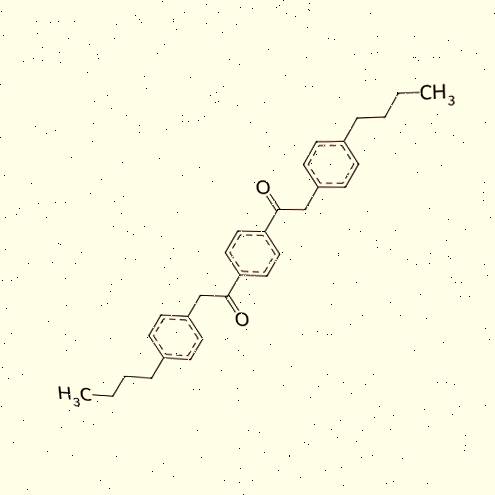 CCCCc1ccc(CC(=O)c2ccc(C(=O)Cc3ccc(CCCC)cc3)cc2)cc1